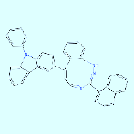 c1ccc(-n2c3ccccc3c3cc(-c4ccnc(-c5cccc6ccccc56)n[nH]c5ccccc45)ccc32)cc1